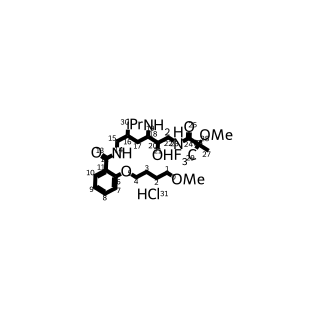 COCCCCOc1ccccc1C(=O)NCC(CC(N)C(O)CNC(=O)[C@@](C)(OC)C(F)(F)F)C(C)C.Cl